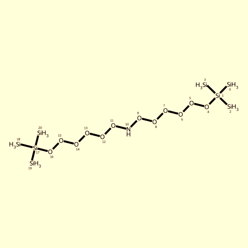 [SiH3][Si]([SiH3])([SiH3])OOOOOONOOOOOO[Si]([SiH3])([SiH3])[SiH3]